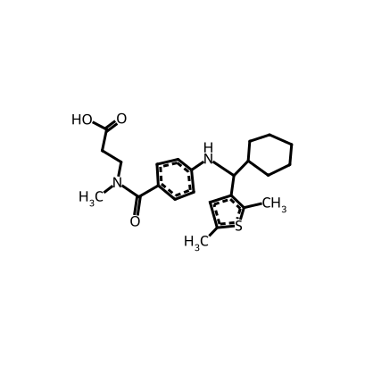 Cc1cc(C(Nc2ccc(C(=O)N(C)CCC(=O)O)cc2)C2CCCCC2)c(C)s1